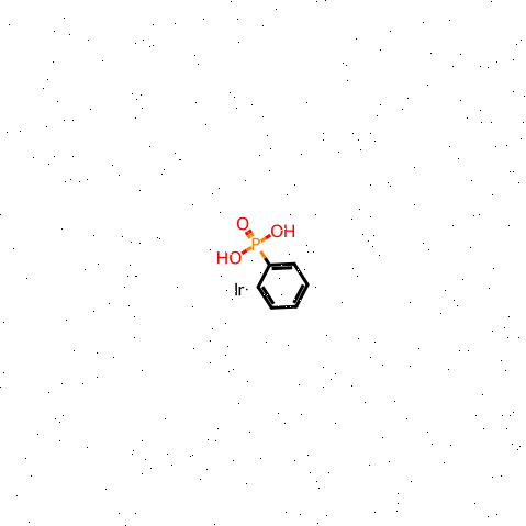 O=P(O)(O)c1ccccc1.[Ir]